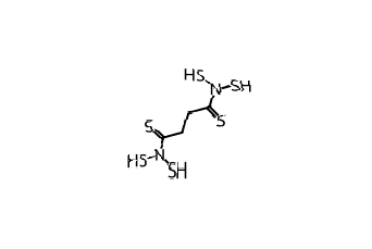 S=C(CCC(=S)N(S)S)N(S)S